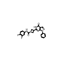 O=C(Nc1ccc(F)c(F)c1)N1CC(c2nc3c(cnn3-c3ccccc3)c(=O)[nH]2)C1